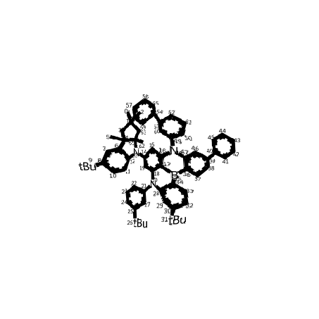 CC1(C)CC2(C)c3cc(C(C)(C)C)ccc3N(c3cc4c5c(c3)N(c3cccc(C(C)(C)C)c3)c3cc(C(C)(C)C)ccc3B5c3ccc(-c5ccccc5)cc3N4c3cccc(-c4ccccc4)c3)C2(C)C1